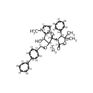 Cn1ccnc1[C@H](O)[C@](C)(OCc1ccc(-c2ccccc2)cc1)C(=O)N1C(=O)OC(C)(C)[C@@H]1c1ccccc1